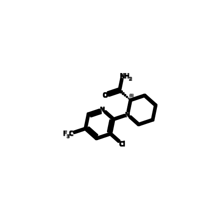 NC(=O)[C@@H]1CCCCN1c1ncc(C(F)(F)F)cc1Cl